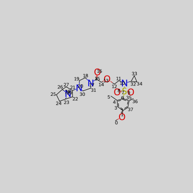 COc1cc(C)c(S(=O)(=O)N(CCOCC(=O)N2CCN(C3CC4CCC(C3)N4C)CC2)C2CC2)c(C)c1